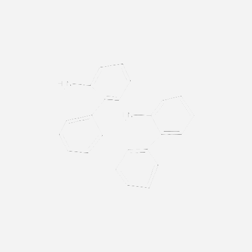 Nc1ccccc1-c1ccccc1.Nc1ccccc1-c1ccccc1